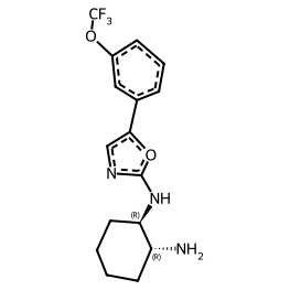 N[C@@H]1CCCC[C@H]1Nc1ncc(-c2cccc(OC(F)(F)F)c2)o1